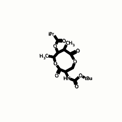 CC(C)C(=O)OC1C(C)OC(=O)C(NC(=O)OC(C)(C)C)COC(=O)C1C